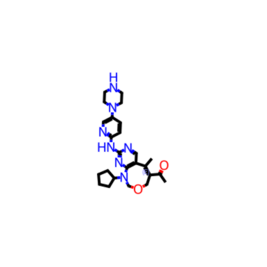 CC(=O)/C1=C(\C)c2cnc(Nc3ccc(N4CCNCC4)cn3)nc2N(C2CCCC2)COC1